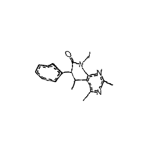 Cc1nc(C)c2c(n1)N(I)C(=O)C(c1ccccc1)C2C